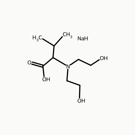 CC(C)C(C(=O)O)N(CCO)CCO.[NaH]